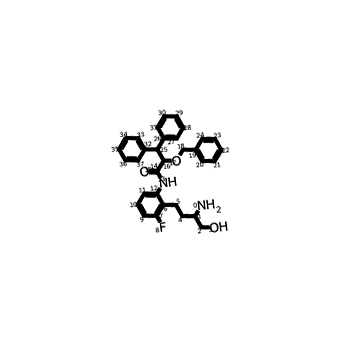 NC(CO)CCc1c(F)cccc1NC(=O)C(OCc1ccccc1)C(c1ccccc1)c1ccccc1